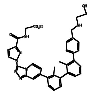 CCOC(=O)CNC(=O)c1ccn(-c2nnc3cc(-c4cccc(-c5cccc(-c6ccc(CNCCO)cc6)c5C)c4C)ccn23)n1